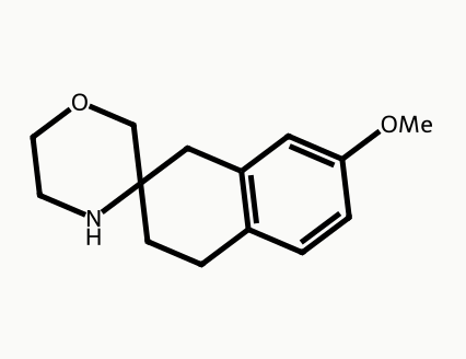 COc1ccc2c(c1)CC1(CC2)COCCN1